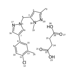 Cc1cc(Cn2cc(-c3ccc(Cl)c(C)c3)cn2)n(C)n1.O=C(O)CCC(=O)O